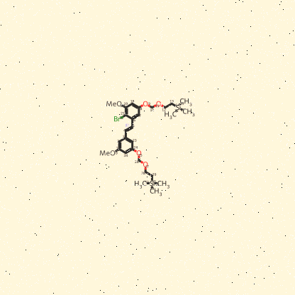 COc1cc(/C=C/c2cc(OCOCC[Si](C)(C)C)cc(OC)c2Br)cc(OCOCC[Si](C)(C)C)c1